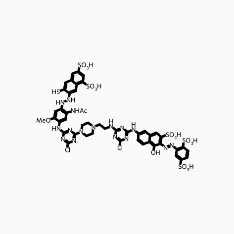 COc1cc(NNc2cc3c(S(=O)(=O)O)cc(S(=O)(=O)O)cc3cc2S)c(NC(C)=O)cc1Nc1nc(Cl)nc(N2CCN(CCNc3nc(Cl)nc(Nc4ccc5c(O)c(/N=N/c6cc(S(=O)(=O)O)ccc6S(=O)(=O)O)c(S(=O)(=O)O)cc5c4)n3)CC2)n1